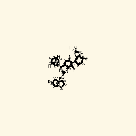 Nc1nc2c(-c3c(Cl)cc4c(N5C[C@H]6C[C@@H](C5)N6)nc(OC[C@@]56CCCN5C[C@H](F)C6)nc4c3F)ccc(F)c2s1